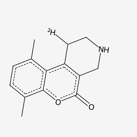 [2H]C1CNCc2c1c1c(C)ccc(C)c1oc2=O